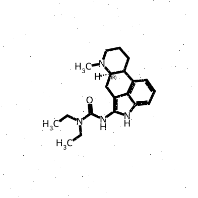 CCN(CC)C(=O)Nc1[nH]c2cccc3c2c1C[C@@H]1C3CCCN1C